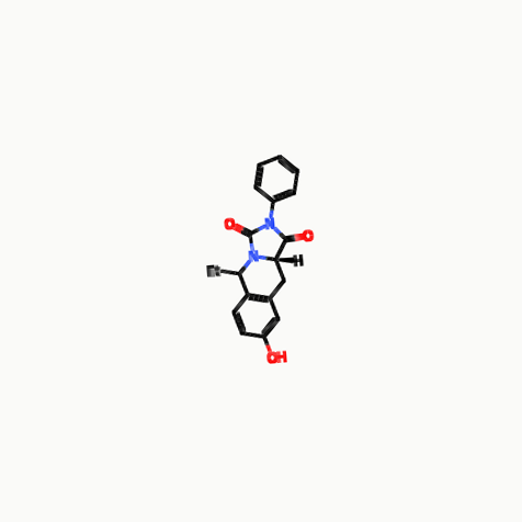 CCC1c2ccc(O)cc2C[C@H]2C(=O)N(c3ccccc3)C(=O)N12